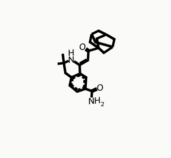 CC1(C)Cc2ccc(C(N)=O)cc2/C(=C/C(=O)C23CC4CC(CC(C4)C2)C3)N1